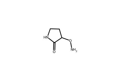 NOC1CCNC1=O